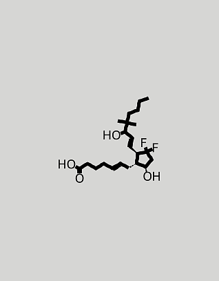 CCCCC(C)(C)C(O)C=C[C@@H]1[C@@H](CC=CCCCC(=O)O)[C@@H](O)CC1(F)F